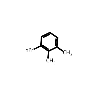 CC[CH]c1cccc(C)c1C